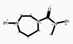 CC(C)N1CCCN(C(=O)N(C)C(C)C)CC1